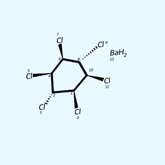 Cl[C@H]1[C@H](Cl)[C@@H](Cl)[C@@H](Cl)[C@H](Cl)[C@H]1Cl.[BaH2]